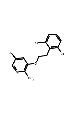 Nc1ncc(Br)cc1OCCc1c(Cl)cccc1Cl